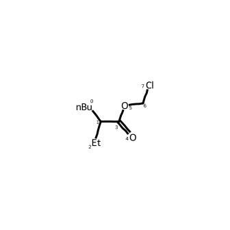 CCCCC(CC)C(=O)OCCl